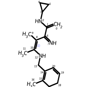 C=C(NC1CC1)C(=N)/C(C)=C(/C)NCC1=C(C)CCC=C1